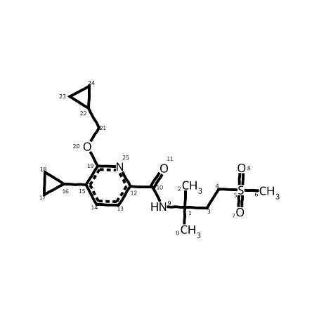 CC(C)(CCS(C)(=O)=O)NC(=O)c1ccc(C2CC2)c(OCC2CC2)n1